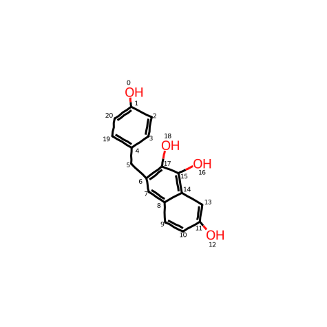 Oc1ccc(Cc2cc3ccc(O)cc3c(O)c2O)cc1